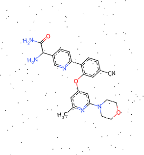 Cc1cc(Oc2cc(C#N)ccc2-c2ccc(C(N)C(N)=O)cn2)cc(N2CCOCC2)n1